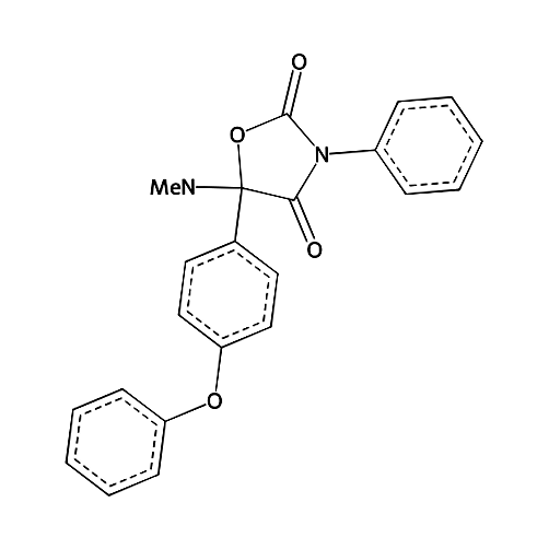 CNC1(c2ccc(Oc3ccccc3)cc2)OC(=O)N(c2ccccc2)C1=O